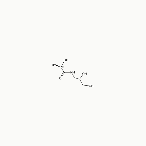 CC(C)[C@@H](O)C(=O)NCC(O)CO